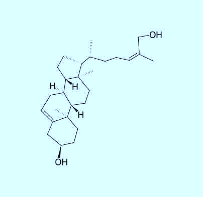 C/C(=C/CC[C@@H](C)[C@H]1CC[C@H]2[C@@H]3CC=C4C[C@H](O)CC[C@]4(C)[C@H]3CC[C@]12C)CO